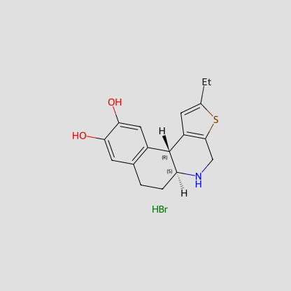 Br.CCc1cc2c(s1)CN[C@H]1CCc3cc(O)c(O)cc3[C@H]21